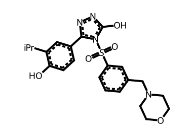 CC(C)c1cc(-c2nnc(O)n2S(=O)(=O)c2cccc(CN3CCOCC3)c2)ccc1O